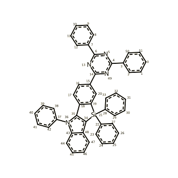 c1ccc(-c2nc(-c3ccccc3)nc(-c3ccc4c(c3)[Si](c3ccccc3)(c3ccccc3)c3c-4n(-c4ccccc4)c4ccccc34)n2)cc1